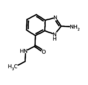 CCNC(=O)c1cccc2nc(N)[nH]c12